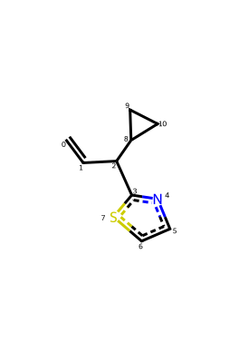 C=CC(c1nccs1)C1CC1